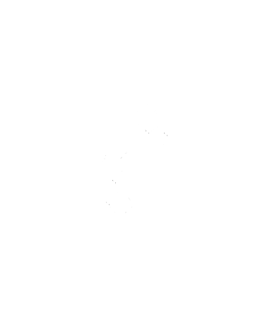 CCc1cccc(Nc2ccc(-c3cnc4cc(C(C)F)ccn34)c(CC)c2C(C)=O)n1